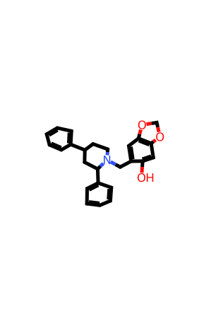 Oc1cc2c(cc1CN1CCC(c3ccccc3)CC1c1ccccc1)OCO2